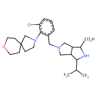 O=C(O)C1NC(C(C(F)(F)F)C(F)(F)F)C2CN(Cc3cccc(Cl)c3N3CCC4(CCOCC4)C3)CC12